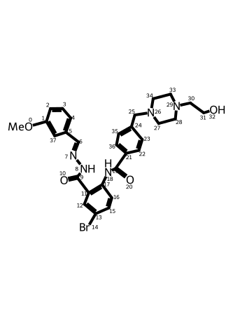 COc1cccc(C=NNC(=O)c2cc(Br)ccc2NC(=O)c2ccc(CN3CCN(CCO)CC3)cc2)c1